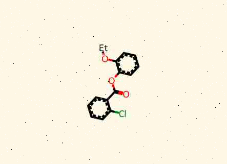 CCOc1ccccc1OC(=O)c1ccccc1Cl